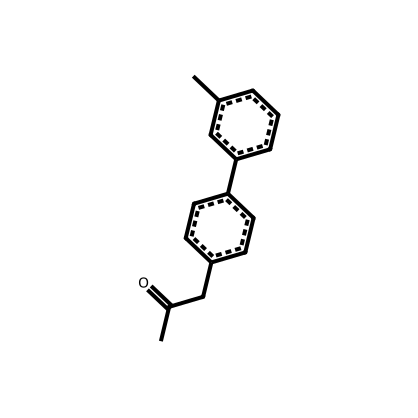 CC(=O)Cc1ccc(-c2cccc(C)c2)cc1